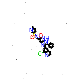 Cc1ccc([S+]([O-])NCc2cc3nc(-c4cc(Cl)c5ncccc5c4)c(-c4ccccc4)nc3[nH]c2=O)cn1